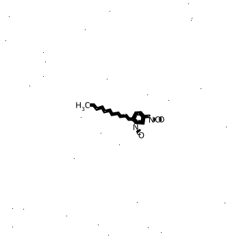 CCCCCCCCCCCc1ccc(CN=C=O)cc1N=C=O